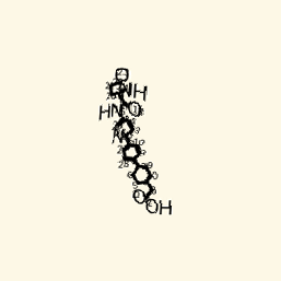 O=C(O)CC1CCC(c2ccc(-c3ccc(NC(=O)C4CCC(=O)N4)cn3)cc2)CC1